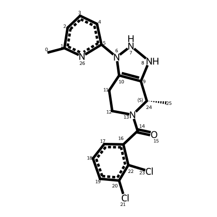 Cc1cccc(N2NNC3=C2CCN(C(=O)c2cccc(Cl)c2Cl)[C@H]3C)n1